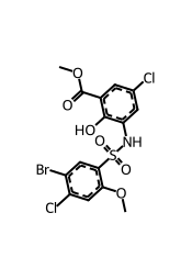 COC(=O)c1cc(Cl)cc(NS(=O)(=O)c2cc(Br)c(Cl)cc2OC)c1O